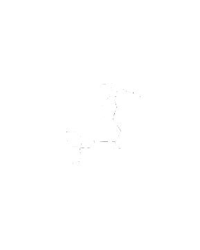 CCO[Si](CCCC(O)OC[Si](OCC)(OCC)OCC)(OCC)OCC